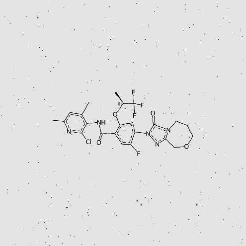 Cc1cc(C)c(NC(=O)c2cc(F)c(-n3nc4n(c3=O)CCCOC4)cc2O[C@@H](C)C(F)(F)F)c(Cl)n1